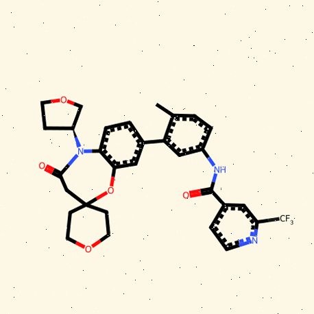 Cc1ccc(NC(=O)c2ccnc(C(F)(F)F)c2)cc1-c1ccc2c(c1)OC1(CCOCC1)CC(=O)N2[C@H]1CCOC1